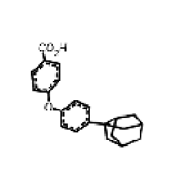 O=C(O)c1ccc(Oc2ccc(C34CC5CC(CC3C5)C4)cc2)cc1